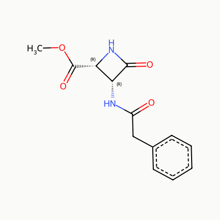 COC(=O)[C@@H]1NC(=O)[C@@H]1NC(=O)Cc1ccccc1